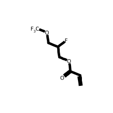 C=CC(=O)OCC(F)COC(F)(F)F